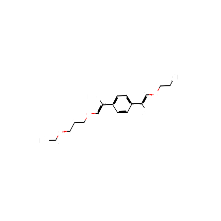 CCCOC=C(C)c1ccc(C(C)=COCCCOCC)cc1